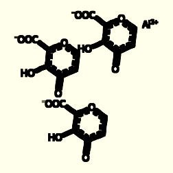 O=C([O-])c1occc(=O)c1O.O=C([O-])c1occc(=O)c1O.O=C([O-])c1occc(=O)c1O.[Al+3]